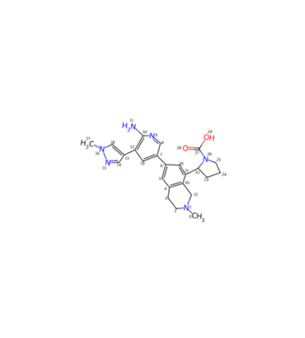 CN1CCc2cc(-c3cnc(N)c(-c4cnn(C)c4)c3)cc(C3CCCN3C(=O)O)c2C1